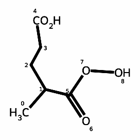 CC(CCC(=O)O)C(=O)OO